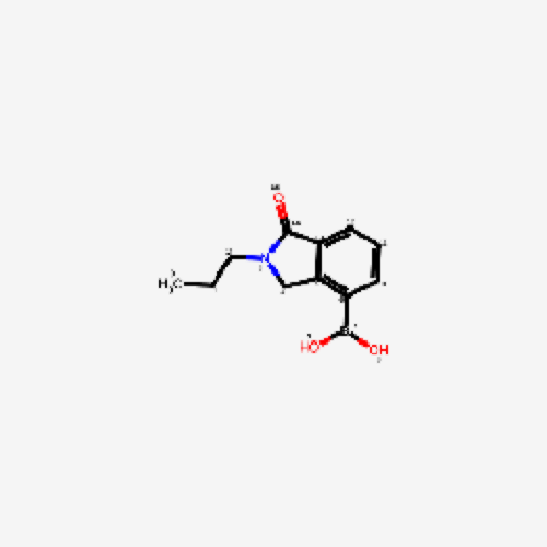 CCCN1Cc2c(B(O)O)cccc2C1=O